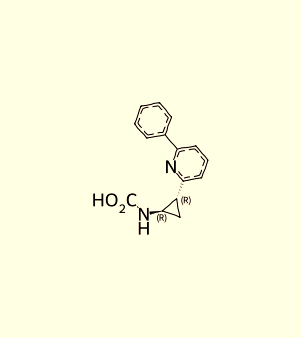 O=C(O)N[C@@H]1C[C@H]1c1cccc(-c2ccccc2)n1